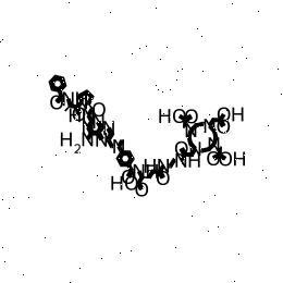 C[C@@H](NC(=O)c1ccccc1)C(=O)N1CCC[C@H]1C(=O)Nc1nc(N)c2nc(CN(C)c3ccc(C(=O)N[C@@H](CCC(=O)NCCNC(=O)CN4CCN(CC(=O)O)CCN(CC(=O)O)CCN(CC(=O)O)CC4)C(=O)O)cc3)cnc2n1